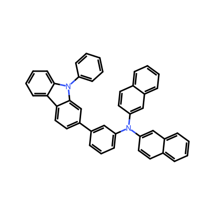 c1ccc(-n2c3ccccc3c3ccc(-c4cccc(N(c5ccc6ccccc6c5)c5ccc6ccccc6c5)c4)cc32)cc1